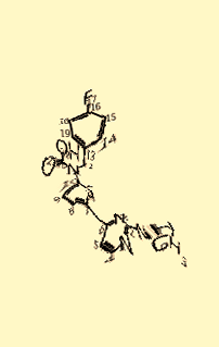 CNc1nccc(-c2ccc(N(Cc3ccc(F)cc3)C(=O)O)s2)n1